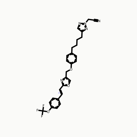 N#CCn1ncc(CCCCc2ccc(OCc3coc(/C=C/c4ccc(OC(F)(F)F)cc4)n3)cc2)n1